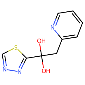 OC(O)(Cc1ccccn1)c1nncs1